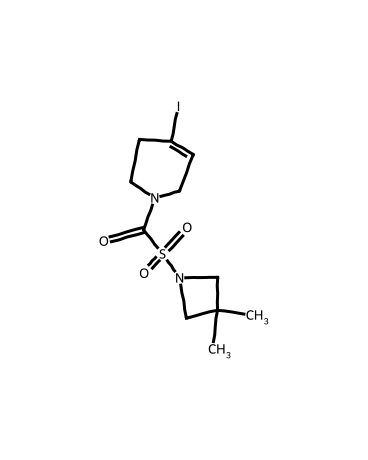 CC1(C)CN(S(=O)(=O)C(=O)N2CC=C(I)CC2)C1